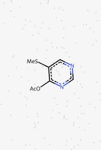 CSc1cncnc1OC(C)=O